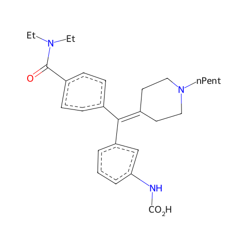 CCCCCN1CCC(=C(c2ccc(C(=O)N(CC)CC)cc2)c2cccc(NC(=O)O)c2)CC1